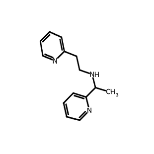 CC(NCCc1ccccn1)c1ccccn1